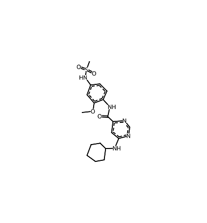 COc1cc(NS(C)(=O)=O)ccc1NC(=O)c1cc(NC2CCCCC2)ncn1